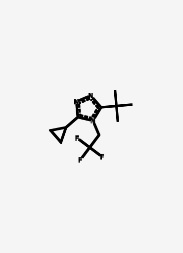 CC(C)(C)c1nnc(C2CC2)n1CC(F)(F)F